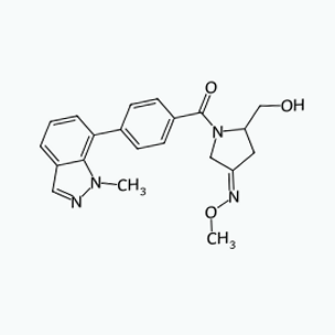 CO/N=C1/CC(CO)N(C(=O)c2ccc(-c3cccc4cnn(C)c34)cc2)C1